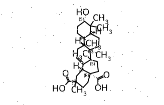 CC1(C)[C@@H](O)CC[C@]2(C)[C@H]3CC=C4[C@@H]5C[C@@](C)(C(=O)O)CC[C@]5(C(=O)O)CC[C@@]4(C)[C@]3(C)CC[C@@H]12